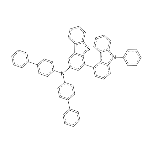 c1ccc(-c2ccc(N(c3ccc(-c4ccccc4)cc3)c3cc(-c4cccc5c4c4ccccc4n5-c4ccccc4)c4sc5ccccc5c4c3)cc2)cc1